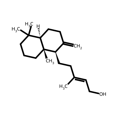 C=C1CC[C@@H]2C(C)(C)CCC[C@@]2(C)[C@@H]1CC/C(C)=C/CO